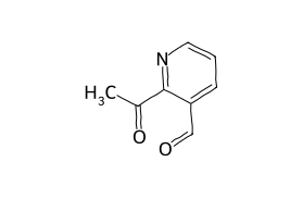 CC(=O)c1ncccc1C=O